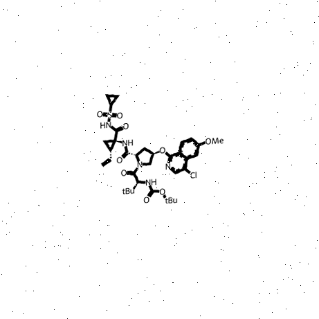 C=C[C@@H]1C[C@]1(NC(=O)[C@@H]1C[C@@H](Oc2ncc(Cl)c3cc(OC)ccc23)CN1C(=O)[C@@H](NC(=O)OC(C)(C)C)C(C)(C)C)C(=O)NS(=O)(=O)C1CC1